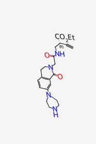 C#C[C@H](CNC(=O)CN1CCc2ccc(N3CCNCC3)cc2C1=O)C(=O)OCC